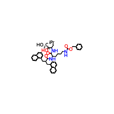 CC(C)CC(NC(=O)C(CCCCNC(=O)OCc1ccccc1)NC(=O)C(Cc1cccc2ccccc12)Cc1cccc2ccccc12)[C@@H](O)C(=O)O